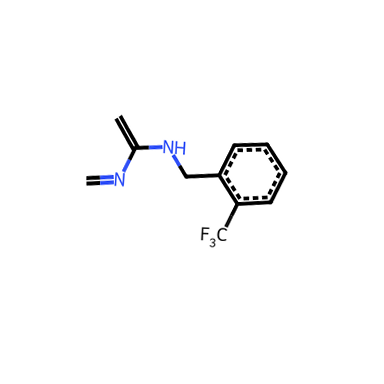 C=NC(=C)NCc1ccccc1C(F)(F)F